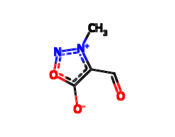 C[n+]1noc([O-])c1C=O